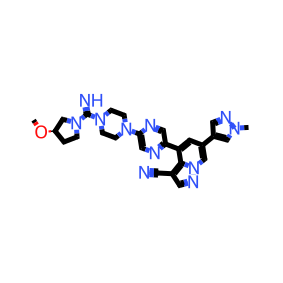 CO[C@H]1CCN(C(=N)N2CCN(c3cnc(-c4cc(-c5cnn(C)c5)cn5ncc(C#N)c45)cn3)CC2)C1